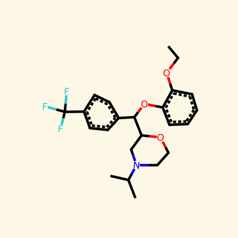 CCOc1ccccc1OC(c1ccc(C(F)(F)F)cc1)C1CN(C(C)C)CCO1